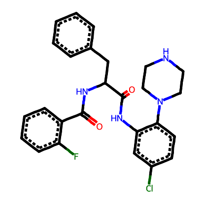 O=C(NC(Cc1ccccc1)C(=O)Nc1cc(Cl)ccc1N1CCNCC1)c1ccccc1F